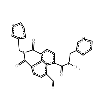 CN(Cc1cccnc1)C(=O)c1ccc2c3c(ccc(C=O)c13)C(=O)N(Cc1cccnc1)C2=O